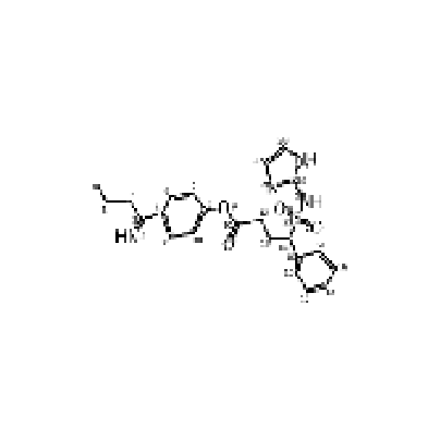 CCCC(=N)c1ccc(OC(=O)CCC(c2ccccc2)S(=O)(=O)Nc2ncc[nH]2)cc1